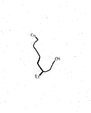 CCC(CO)CCC[CH2][Co]